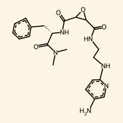 CN(C)C(=O)[C@H](Cc1ccccc1)NC(=O)C1OC1C(=O)NCCNc1ccc(N)cn1